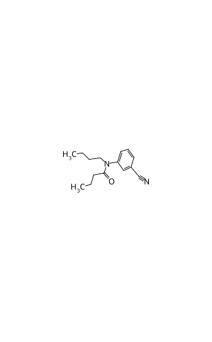 CCCCN(C(=O)CCC)c1cccc(C#N)c1